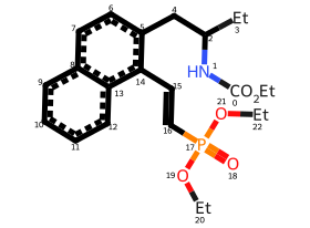 CCOC(=O)NC(CC)Cc1ccc2ccccc2c1C=CP(=O)(OCC)OCC